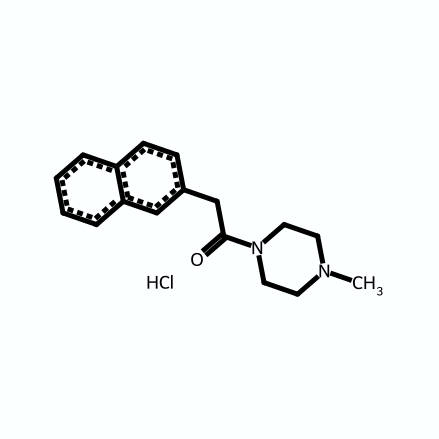 CN1CCN(C(=O)Cc2ccc3ccccc3c2)CC1.Cl